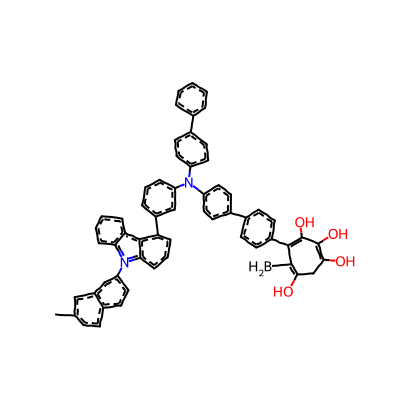 BC1=C(O)CC(O)=C(O)C(O)=C1c1ccc(-c2ccc(N(c3ccc(-c4ccccc4)cc3)c3cccc(-c4cccc5c4c4ccccc4n5-c4ccc5ccc(C)cc5c4)c3)cc2)cc1